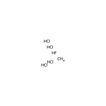 C.Cl.Cl.Cl.Cl.F